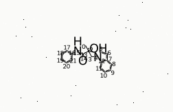 CC(O)(Cn1ccc2ccccc21)C(=O)Nc1ccccc1